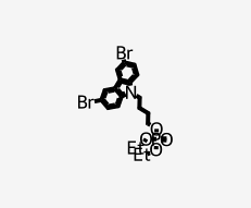 CCOP(=O)(OCC)OCCCCn1c2ccc(Br)cc2c2cc(Br)ccc21